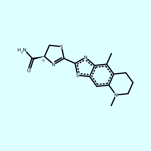 Cc1c2c(cc3sc(C4=N[C@@H](C(N)=O)CS4)nc13)N(C)CCC2